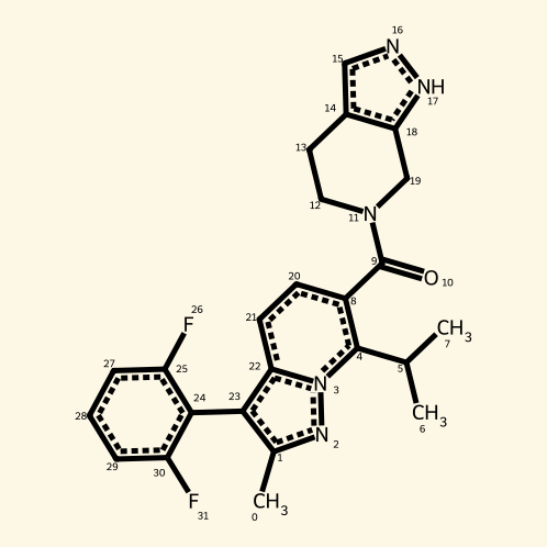 Cc1nn2c(C(C)C)c(C(=O)N3CCc4cn[nH]c4C3)ccc2c1-c1c(F)cccc1F